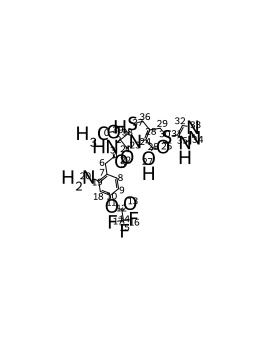 CO[C@@]1(NC(=O)Cc2ccc(OC(=O)C(F)(F)F)cc2N)C(=O)N2C(C(=O)O)=C(CSc3cnn[nH]3)CS[C@H]21